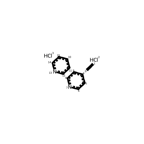 C=C.Cl.Cl.c1ccncc1.c1ccncc1